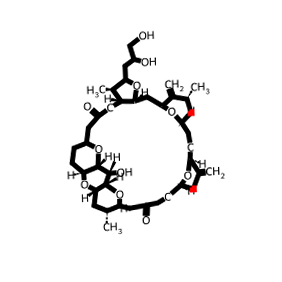 C=C1C2C[C@@H]3OC(CC(O)CO)[C@H](C)[C@H]3CC(=O)CC3CC[C@@H]4O[C@H]5C[C@@H](C)[C@H](CC(=O)CC[C@H]6CC(=C)[C@H](CC[C@@H](C[C@H]1C)O2)O6)O[C@H]5[C@@H](O)[C@H]4O3